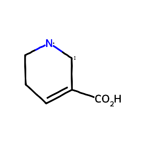 O=C(O)C1=CCC[N][C]1